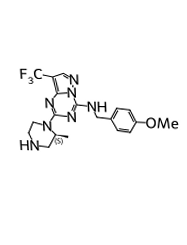 COc1ccc(CNc2nc(N3CCNC[C@@H]3C)nc3c(C(F)(F)F)cnn23)cc1